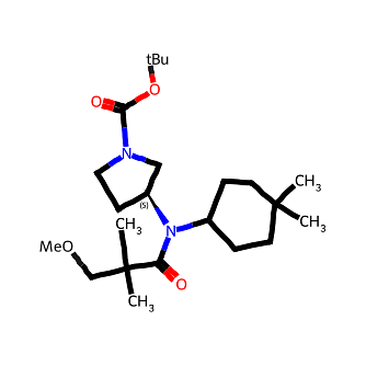 COCC(C)(C)C(=O)N(C1CCC(C)(C)CC1)[C@H]1CCN(C(=O)OC(C)(C)C)C1